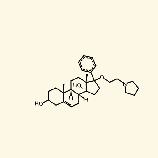 C[C@]12CCC(O)CC1=CC[C@@H]1[C@H]2CC[C@]2(C)C(OCCN3CCCC3)(c3ccccc3)CC[C@@]12O